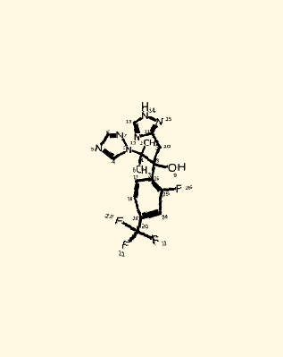 CC(C)(n1cncn1)C(O)(Cc1nc[nH]n1)c1ccc(C(F)(F)F)cc1F